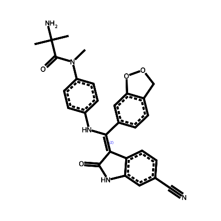 CN(C(=O)C(C)(C)N)c1ccc(N/C(=C2\C(=O)Nc3cc(C#N)ccc32)c2ccc3c(c2)OOC3)cc1